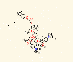 CBc1ccc(OCC(=O)COC(C)CC(C)(CC)OCC(CC)(COCC(C)OC(=O)c2ccc(N(C)C)cc2)COC(C)(C)CC(C)OC(C)(CC)C(=O)c2ccc(N(C)C)cc2)cc1